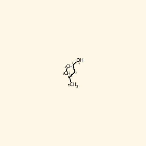 CCCCO.[CH2]C